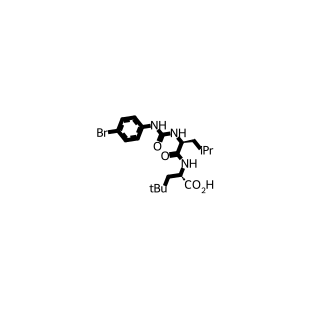 CC(C)C[C@H](NC(=O)Nc1ccc(Br)cc1)C(=O)N[C@@H](CC(C)(C)C)C(=O)O